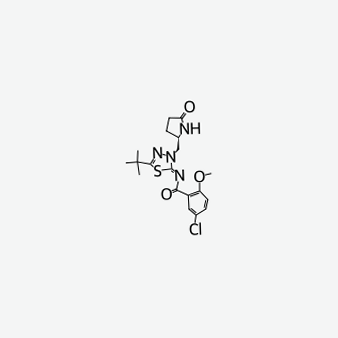 COc1ccc(Cl)cc1C(=O)N=c1sc(C(C)(C)C)nn1C[C@H]1CCC(=O)N1